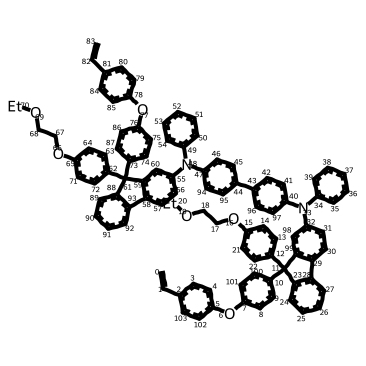 C=Cc1ccc(Oc2ccc(C3(c4ccc(OCCOCC)cc4)c4ccccc4-c4ccc(N(c5ccccc5)c5ccc(-c6ccc(N(c7ccccc7)c7ccc8c(c7)C(c7ccc(OCCOCC)cc7)(c7ccc(Oc9ccc(C=C)cc9)cc7)c7ccccc7-8)cc6)cc5)cc43)cc2)cc1